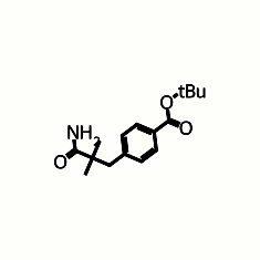 CC(C)(C)OC(=O)c1ccc(CC(C)(C)C(N)=O)cc1